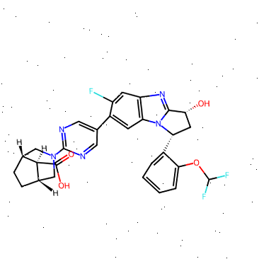 O=C(O)[C@@H]1[C@@H]2CC[C@H]1CN(c1ncc(-c3cc4c(cc3F)nc3n4[C@@H](c4ccccc4OC(F)F)C[C@H]3O)cn1)C2